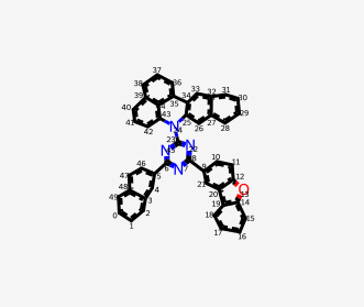 c1ccc2cc(-c3nc(-c4ccc5oc6ccccc6c5c4)nc(N4c5cc6ccccc6cc5-c5cccc6cccc4c56)n3)ccc2c1